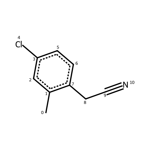 Cc1cc(Cl)ccc1CC#N